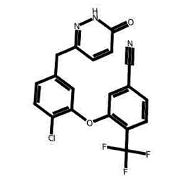 N#Cc1ccc(C(F)(F)F)c(Oc2cc(Cc3ccc(=O)[nH]n3)ccc2Cl)c1